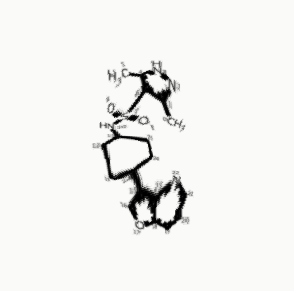 Cc1n[nH]c(C)c1S(=O)(=O)NC1CCC(c2coc3cccnc23)CC1